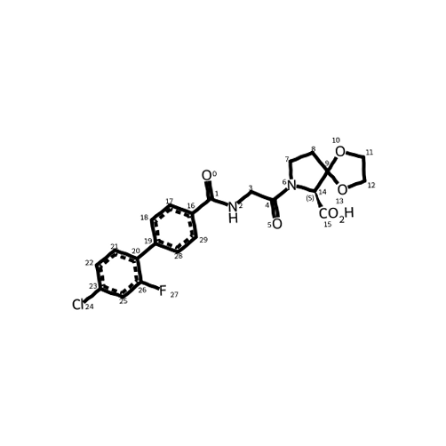 O=C(NCC(=O)N1CCC2(OCCO2)[C@H]1C(=O)O)c1ccc(-c2ccc(Cl)cc2F)cc1